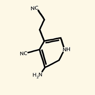 N#CCCC1=CNCC(N)=C1C#N